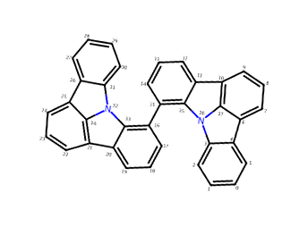 c1ccc2c(c1)c1cccc3c4cccc(-c5cccc6c7cccc8c9ccccc9n(c56)c87)c4n2c13